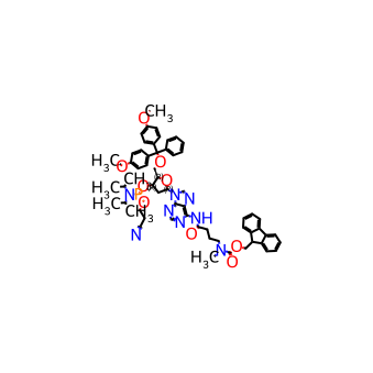 COc1ccc(C(OC[C@H]2O[C@@H](n3cnc4c(NC(=O)CCCN(C)C(=O)OCC5c6ccccc6-c6ccccc65)ncnc43)C[C@H]2OP(OCCC#N)N(C(C)C)C(C)C)(c2ccccc2)c2ccc(OC)cc2)cc1